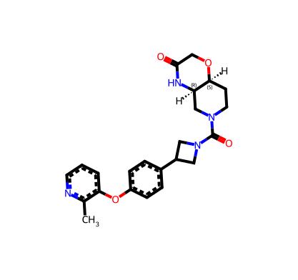 Cc1ncccc1Oc1ccc(C2CN(C(=O)N3CC[C@@H]4OCC(=O)N[C@@H]4C3)C2)cc1